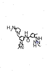 CC/N=C(\NC)Nc1cc(C(=O)Nc2cc(CN3CCC[C@H](N)C3)cc(-n3cnc(C)c3)c2)ccc1C